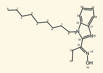 CCCCCCCCCn1c(C(CC)=NO)nc2ccccc21